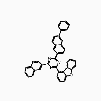 c1ccc(-c2ccc3cc(-c4nc(-c5ccc6ccccc6c5)nc(-c5cccc6oc7ccccc7c56)n4)ccc3c2)cc1